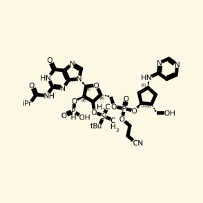 CC(C)C(=O)Nc1nc2c(ncn2[C@@H]2O[C@H](COP(=O)(OCCC#N)O[C@H]3C[C@H](Nc4ccncn4)C[C@@H]3CO)C(O[Si](C)(C)C(C)(C)C)[C@H]2O[PH](=O)O)c(=O)[nH]1